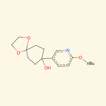 CCCCOc1ccc(C2(O)CCC3(CC2)OCCO3)cn1